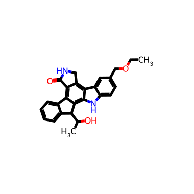 CCOCc1ccc2[nH]c3c4c(c5c(c3c2c1)CNC5=O)-c1ccccc1C4C(C)O